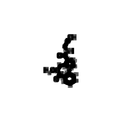 C#CCNC(=O)c1ncn2c1CN(C)C(=O)c1ccccc1-2